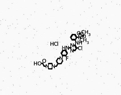 CN(c1ccccc1Nc1nc(Nc2ccc(N3CCC(CN4CCN(CC(=O)O)CC4)CC3)c(F)c2)ncc1Cl)S(C)(=O)=O.Cl